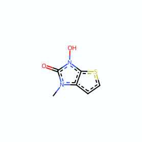 Cn1c(=O)n(O)c2sccc21